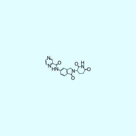 O=C1CCC(N2Cc3cc(NC(=O)c4cnccn4)ccc3C2=O)C(=O)N1